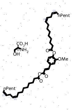 CCCCC/C=C\C/C=C\CCCCCCCC(=O)OC(=O)C=Cc1ccc(OC(=O)CCCCCCC/C=C\C/C=C\CCCCC)c(OC)c1.N[C@@H](CO)C(=O)O